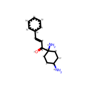 NC1CCC(N)(C(=O)C=Cc2ccccc2)CC1